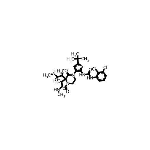 CNC(=O)C(C)C1(C(C)C(=O)NC)C(=O)N(c2cc(C(C)(C)C)sc2NC(=O)Nc2cccc(Cl)c2Cl)CCN1C=O